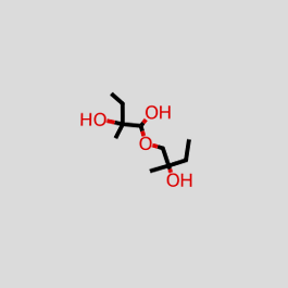 CCC(C)(O)COC(O)C(C)(O)CC